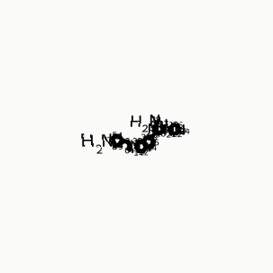 C=C(Cc1ccc(N)cc1)N1CCc2ccc(-c3cc(N4CCN(C)CC4)nc(N)n3)cc2C1